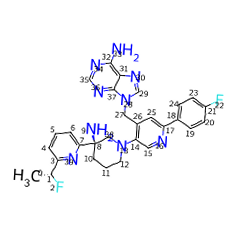 C[C@@H](F)c1cccc([C@@]2(N)CCCN(c3cnc(-c4ccc(F)cc4)cc3Cn3cnc4c(N)ncnc43)C2)n1